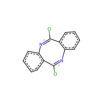 Cl/C1=N/c2ccccc2/C(Cl)=N\c2ccccc21